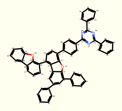 c1ccc(-c2cc(-c3ccccc3)c3oc4c(-c5ccc(-c6nc(-c7ccccc7)nc(-c7ccccc7)n6)cc5)ccc(-c5cccc6c5oc5ccccc56)c4c3c2)cc1